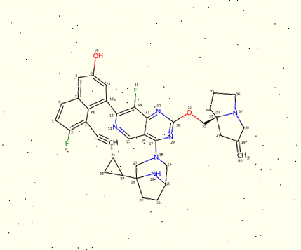 C#Cc1c(F)ccc2cc(O)cc(-c3ncc4c(N5CC6CCC(C7CC7)(C5)N6)nc(OC[C@@]56CCCN5CC(=C)C6)nc4c3F)c12